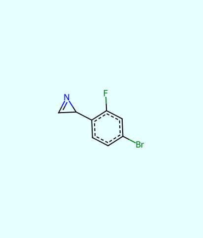 Fc1cc(Br)ccc1C1C=N1